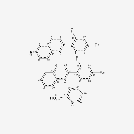 Fc1ccc(-c2ccc3ccccc3n2)c(F)c1.Fc1ccc(-c2ccc3ccccc3n2)c(F)c1.O=C(O)c1ccccn1.[Ir]